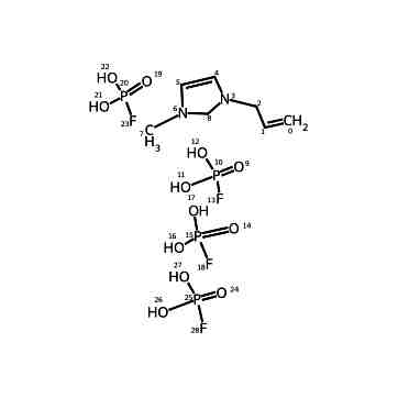 C=CCN1C=CN(C)C1.O=P(O)(O)F.O=P(O)(O)F.O=P(O)(O)F.O=P(O)(O)F